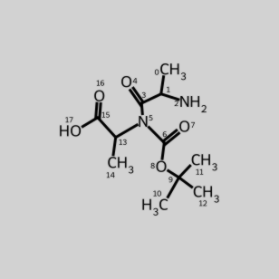 CC(N)C(=O)N(C(=O)OC(C)(C)C)C(C)C(=O)O